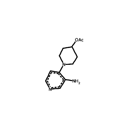 CC(=O)OC1CCN(c2ccncc2N)CC1